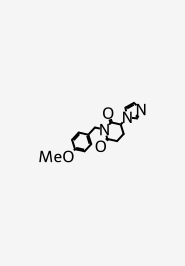 COc1ccc(CN2C(=O)CCC(n3ccnc3)C2=O)cc1